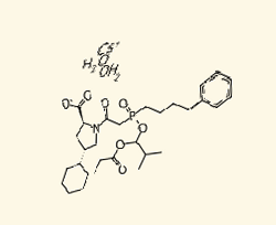 CCC(=O)OC(OP(=O)(CCCCc1ccccc1)CC(=O)N1C[C@H](C2CCCCC2)C[C@H]1C(=O)[O-])C(C)C.O.O.[Cs+]